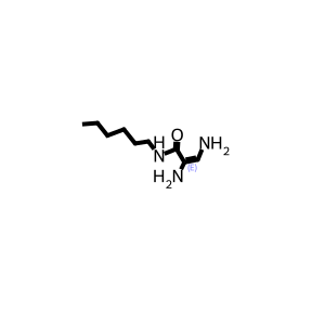 CCCCCCNC(=O)/C(N)=C\N